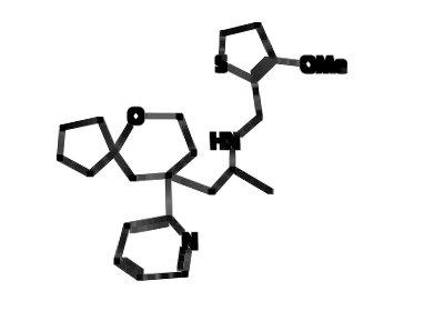 COC1=C(CNC(C)CC2(c3ccccn3)CCOC3(CCCC3)C2)SCC1